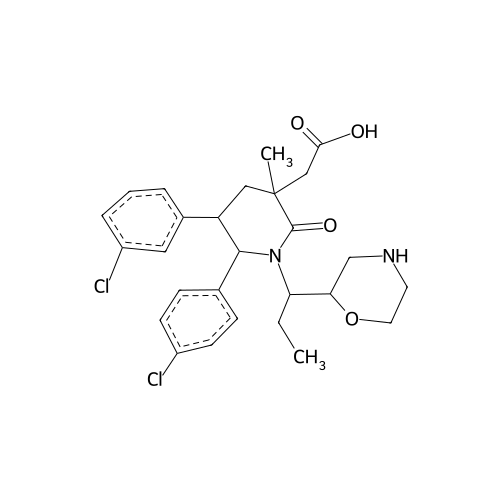 CCC(C1CNCCO1)N1C(=O)C(C)(CC(=O)O)CC(c2cccc(Cl)c2)C1c1ccc(Cl)cc1